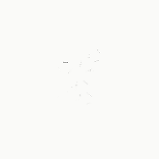 CC(C)(C)c1cc(-c2nc3ccccc3c3oc4ccccc4c23)cc2ccccc12